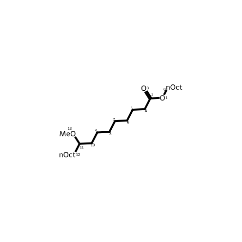 CCCCCCCCOC(=O)CCCCCCCC(CCCCCCCC)OC